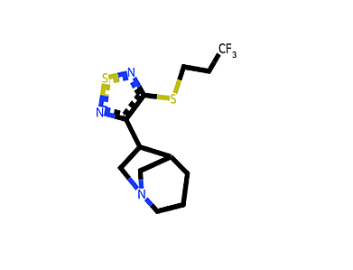 FC(F)(F)CCSc1nsnc1C1CN2CCCC1C2